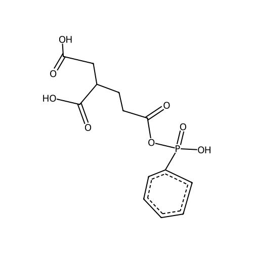 O=C(O)CC(CCC(=O)OP(=O)(O)c1ccccc1)C(=O)O